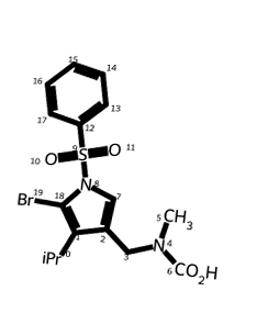 CC(C)c1c(CN(C)C(=O)O)cn(S(=O)(=O)c2ccccc2)c1Br